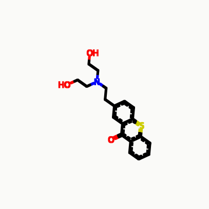 O=c1c2ccccc2sc2ccc(CCN(CCO)CCO)cc12